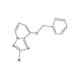 Brc1nc2c(OCc3ccccc3)cccn2n1